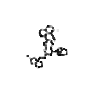 C#Cc1c(F)ccc2cccc(-c3ccc4c(N5CC6CCC(C5)N6)nc(OC[C@@]56CCCN5C[C@H](F)C6)nc4n3)c12